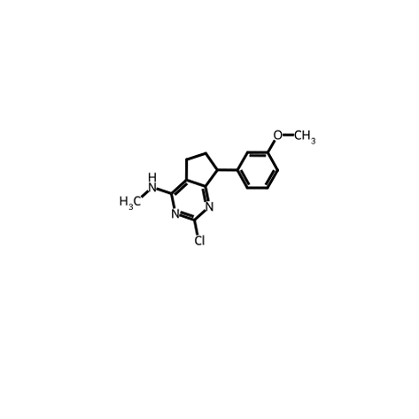 CNc1nc(Cl)nc2c1CCC2c1cccc(OC)c1